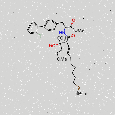 CCCCCCCSCCCCCCC=C[C@H](C(=O)N[C@@H](Cc1ccc(-c2ccccc2F)cc1)C(=O)OC)[C@@](O)(CCOC)C(=O)O